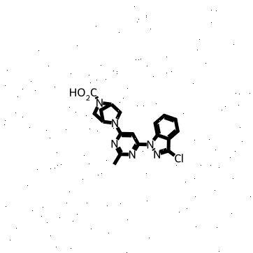 Cc1nc(N2CC3CC2CN3C(=O)O)cc(-n2nc(Cl)c3ccccc32)n1